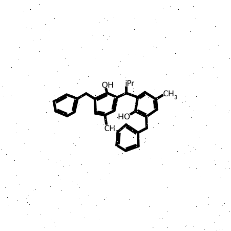 Cc1cc(Cc2ccccc2)c(O)c(C(c2cc(C)cc(Cc3ccccc3)c2O)C(C)C)c1